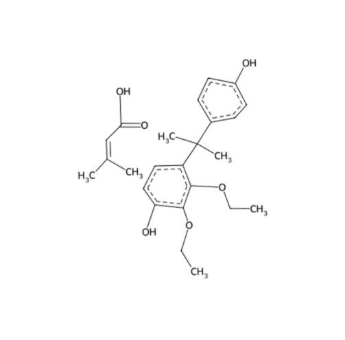 CC(C)=CC(=O)O.CCOc1c(O)ccc(C(C)(C)c2ccc(O)cc2)c1OCC